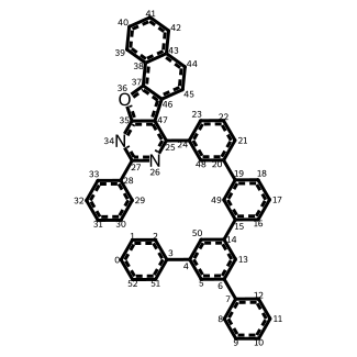 c1ccc(-c2cc(-c3ccccc3)cc(-c3cccc(-c4cccc(-c5nc(-c6ccccc6)nc6oc7c8ccccc8ccc7c56)c4)c3)c2)cc1